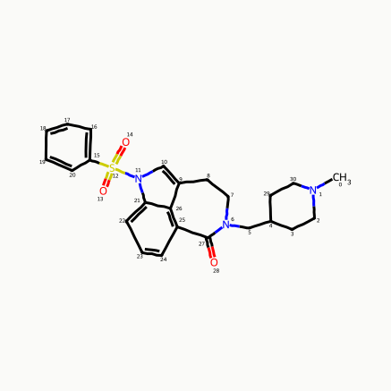 CN1CCC(CN2CCc3cn(S(=O)(=O)c4ccccc4)c4cccc(c34)C2=O)CC1